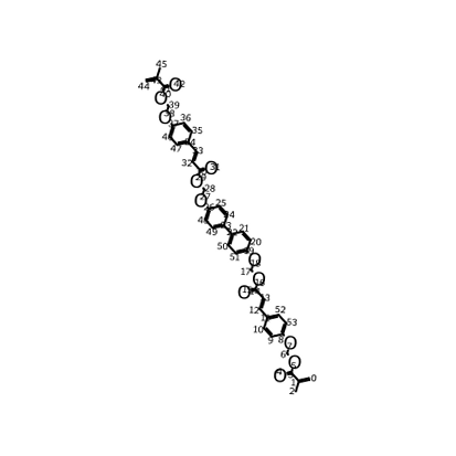 C=C(C)C(=O)OCOc1ccc(/C=C/C(=O)OCOc2ccc(-c3ccc(OCOC(=O)/C=C/c4ccc(OCOC(=O)C(=C)C)cc4)cc3)cc2)cc1